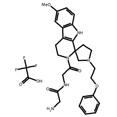 COc1ccc2[nH]c3c(c2c1)CCN(C(=O)CNC(=O)CN)C31CCN(CCOc2ccccc2)C1.O=C(O)C(F)(F)F